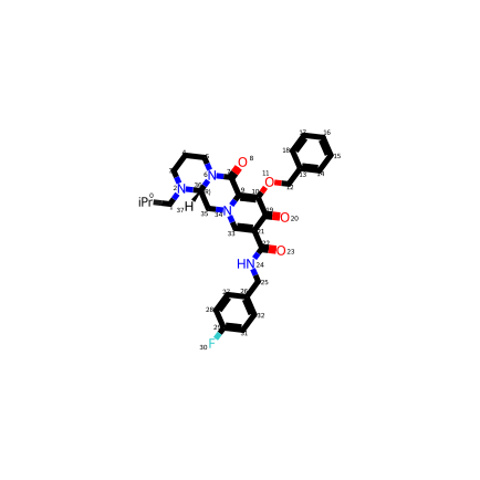 CC(C)CN1CCCN2C(=O)c3c(OCc4ccccc4)c(=O)c(C(=O)NCc4ccc(F)cc4)cn3C[C@H]12